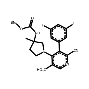 CC1(NC(=O)OC(C)(C)C)CCN(c2c(C(=O)O)cnc(C#N)c2-c2cc(F)cc(F)c2)C1